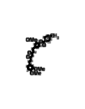 COc1ccc(C=CC(=O)CC(=O)C=Cc2ccc(OC(=O)N3CCN(C)CC3)c(OC)c2)cc1OC